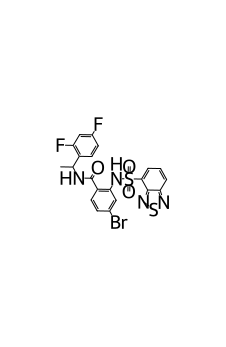 CC(NC(=O)c1ccc(Br)cc1NS(=O)(=O)c1cccc2nsnc12)c1ccc(F)cc1F